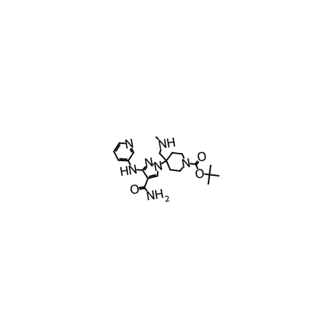 CNCC1(n2cc(C(N)=O)c(Nc3cccnc3)n2)CCN(C(=O)OC(C)(C)C)CC1